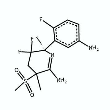 CC1(S(C)(=O)=O)CC(F)(F)[C@@](C)(c2cc(N)ccc2F)N=C1N